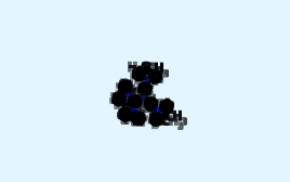 CC1(C)c2ccccc2N(c2ccc(N(c3ccc(N4c5ccccc5C(C)(C)c5ccccc54)cc3)c3c(C#N)c4c5c(c3C#N)-n3c6ccccc6c6cccc(c63)B5c3cccc5c6ccccc6n-4c35)cc2)c2ccccc21